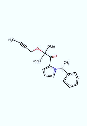 CC#CCOC(OC)(OC)C(=O)c1cccn1[C@H](C)c1ccccc1